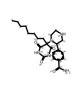 CCCCCCCCC1(N2CCNCC2c2ccc(C(N)=O)cc2)C(=O)NC(=O)NC1=O